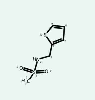 CS(=O)(=O)NCc1cccs1